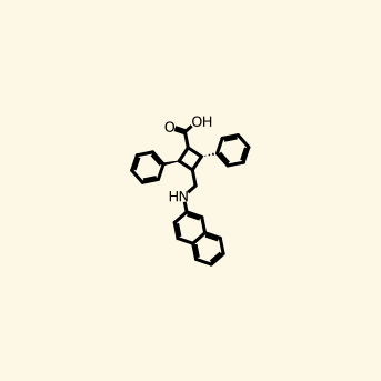 O=C(O)C1[C@H](c2ccccc2)C(CNc2ccc3ccccc3c2)[C@H]1c1ccccc1